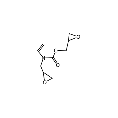 C=CN(CC1CO1)C(=O)OCC1CO1